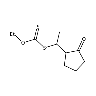 CCOC(=S)SC(C)C1CCCC1=O